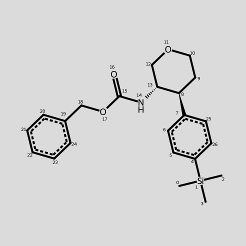 C[Si](C)(C)c1ccc([C@@H]2CCOC[C@H]2NC(=O)OCc2ccccc2)cc1